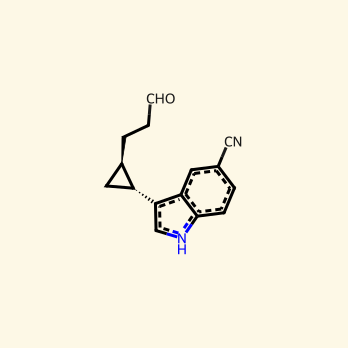 N#Cc1ccc2[nH]cc([C@@H]3C[C@H]3CCC=O)c2c1